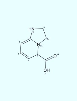 O=C(O)C1C=CC=C2NCCN21